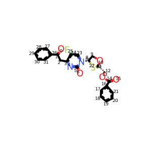 O=C(Cc1nc(=O)n([C@@H]2CO[C@H](COC(=O)c3ccccc3)S2)cc1F)c1ccccc1